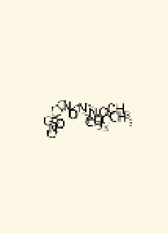 C[C@@H]1CN(CC(=O)N2CCc3ccc(S(=O)(=O)N4CCCC4)cc32)CCN1C(=O)OC(C)(C)C